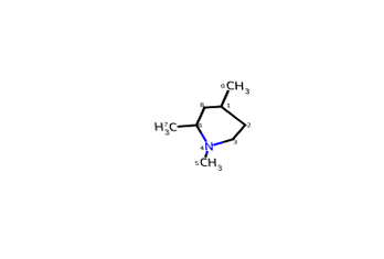 CC1CCN(C)C(C)C1